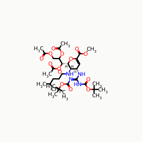 COC(=O)C1=C[C@H](NC(=NC(=O)OC(C)(C)C)NC(=O)OC(C)(C)C)[C@@H](NC(=O)CCC(C)C)[C@H](C(OC(C)=O)C(COC(C)=O)OC(C)=O)O1